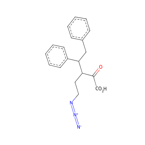 [N-]=[N+]=NCCC(C(=O)C(=O)O)C(Cc1ccccc1)c1ccccc1